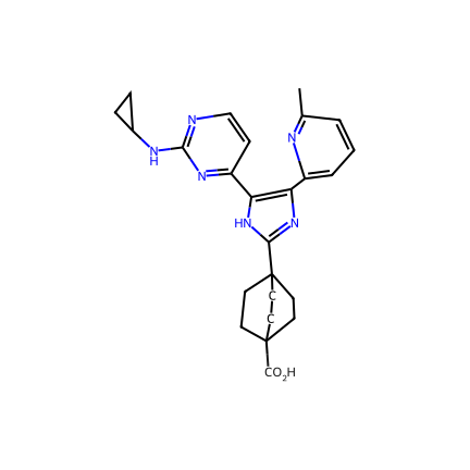 Cc1cccc(-c2nc(C34CCC(C(=O)O)(CC3)CC4)[nH]c2-c2ccnc(NC3CC3)n2)n1